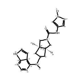 CCn1cc(NC(=O)N2C[C@H]3CC(N(C)c4ncnc5[nH]ccc45)C[C@H]3C2)cn1